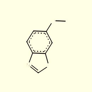 COc1ccc2c(c1)SC=[N+]2